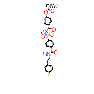 COC(=O)Oc1ccc(C(=O)NS(=O)(=O)c2ccc(C(=O)NCCc3ccc(F)cc3)cc2)cn1